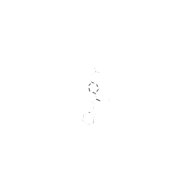 CC(C)Oc1ccc(C(=O)NCC2(C)CCCNC2)cc1.Cl